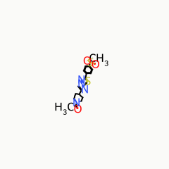 CC(=O)N1CCC(c2cn3nc(-c4ccc(S(C)(=O)=O)cc4)sc3n2)CC1